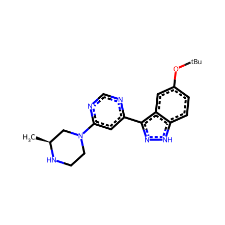 C[C@H]1CN(c2cc(-c3n[nH]c4ccc(OC(C)(C)C)cc34)ncn2)CCN1